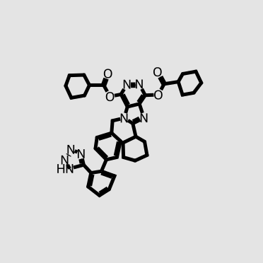 O=C(Oc1nnc(OC(=O)C2CCCCC2)c2c1nc(C1CCCCC1)n2Cc1ccc(-c2ccccc2-c2nnn[nH]2)cc1)C1CCCCC1